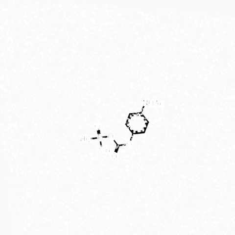 CC(=O)Nc1ccc(OC(=O)OP(=O)(O)O)cc1